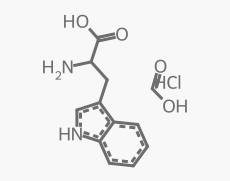 Cl.NC(Cc1c[nH]c2ccccc12)C(=O)O.O=CO